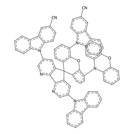 N#Cc1ccc2c(c1)c1ccccc1n2-c1cnc2c(c1)C1(c3cc(-n4c5ccccc5c5ccccc54)cnc3-2)c2cccc(N3c4ccccc4Oc4ccccc43)c2Oc2c(-n3c4ccccc4c4cc(C#N)ccc43)cccc21